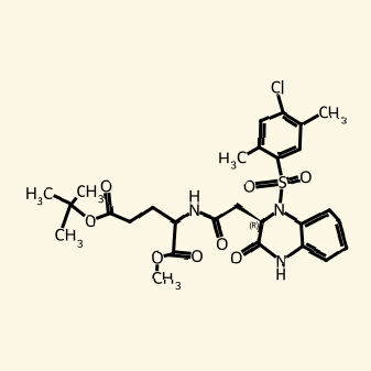 COC(=O)C(CCC(=O)OC(C)(C)C)NC(=O)C[C@@H]1C(=O)Nc2ccccc2N1S(=O)(=O)c1cc(C)c(Cl)cc1C